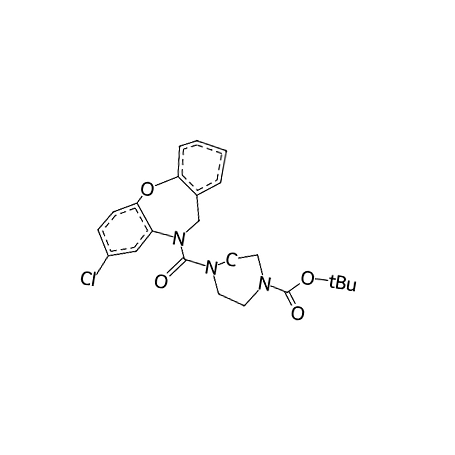 CC(C)(C)OC(=O)N1CCN(C(=O)N2Cc3ccccc3Oc3ccc(Cl)cc32)CC1